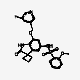 COc1ccccc1S(=O)(=O)Nc1cc(OCc2cncc(F)c2)c2c(c1)C1(CCC1)C(=O)N2